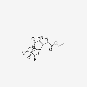 CCOC(=O)c1n[nH]c2c1CCN(CC1(S(=O)(=O)C(F)F)CC1)C2=O